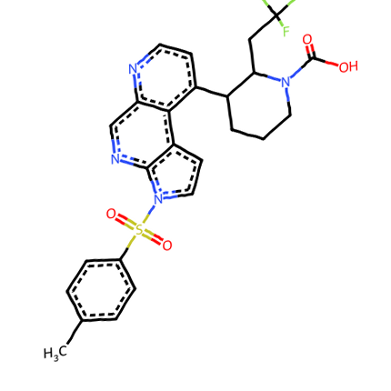 Cc1ccc(S(=O)(=O)n2ccc3c4c(C5CCCN(C(=O)O)C5CC(F)(F)F)ccnc4cnc32)cc1